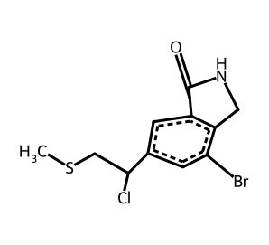 CSCC(Cl)c1cc(Br)c2c(c1)C(=O)NC2